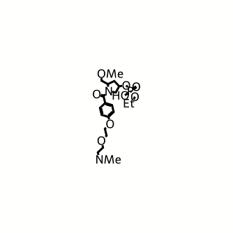 CCOP(=O)(O)OC1CC(COC)N(C(=O)c2ccc(OCCOCCNC)cc2)C1